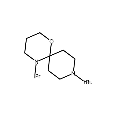 CC(C)N1CCCOC12CCN(C(C)(C)C)CC2